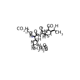 CC=C1CS[C@@H]2[C@H](NC(=O)/C(=N\OCC(=O)O)c3csc(N)n3)C(=O)N2C1C(=O)O.O.O.O